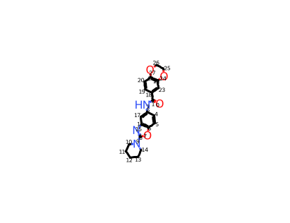 O=C(Nc1ccc2oc(N3CCCCC3)nc2c1)c1ccc2c(c1)OCCO2